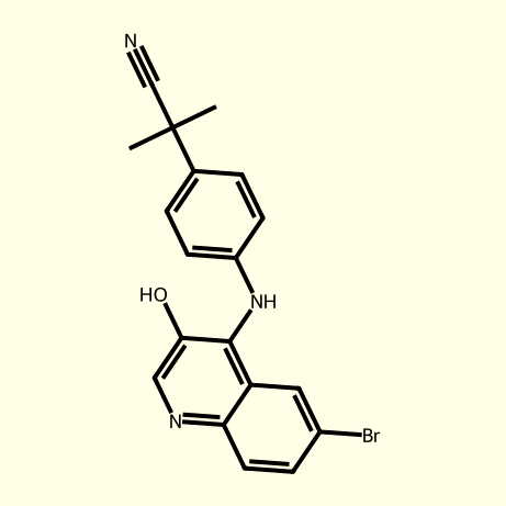 CC(C)(C#N)c1ccc(Nc2c(O)cnc3ccc(Br)cc23)cc1